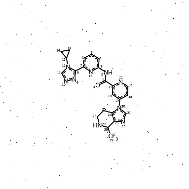 O=C(Nc1cccc(-c2nncn2C2CC2)n1)c1cc(-n2cnc3c2CCNC3C(F)(F)F)ccn1